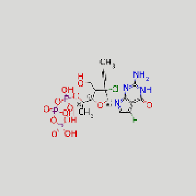 CC#CC1(Cl)C(CO)[C@@H]([C@@H](C)OP(=O)(O)OP(=O)(O)OP(=O)(O)O)O[C@H]1n1cc(F)c2c(=O)[nH]c(N)nc21